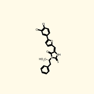 O=C(O)[C@@H](Cc1ccccc1)N1C(=O)/C(=C\c2ccc(-c3ccc(Cl)c(Cl)c3)o2)NC1=S